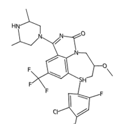 COC1Cn2c(=O)nc(N3CC(C)NC(C)C3)c3cc(C(F)(F)F)cc(c32)[SH](c2cc(Cl)c(F)cc2F)C1